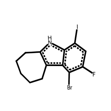 Fc1cc(I)c2[nH]c3c(c2c1Br)CCCCC3